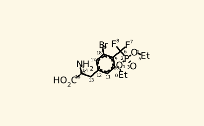 CCOP(=O)(OCC)C(F)(F)c1ccc(C[C@H](N)C(=O)O)cc1Br